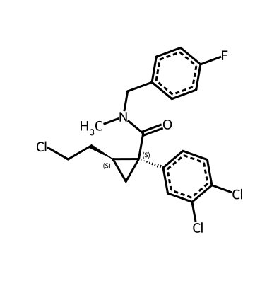 CN(Cc1ccc(F)cc1)C(=O)[C@@]1(c2ccc(Cl)c(Cl)c2)C[C@H]1CCCl